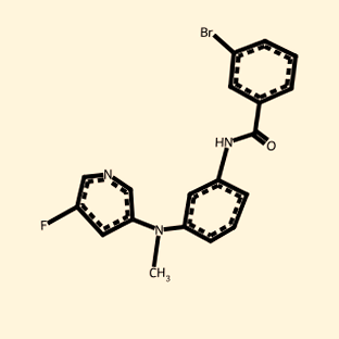 CN(c1cncc(F)c1)c1cccc(NC(=O)c2cccc(Br)c2)c1